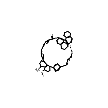 CC1CCC2C3=C=C=C(C=C3)C3=C=C=C(C=C3)OSOc3ccc4c(c3-c3c(ccc5c3CCCC5)OC(=O)C3=CC=C(CC3)C3=CC=C(CC3)C3CCC(C)C1=C23)CCCC4